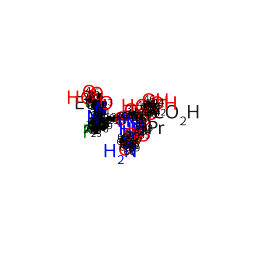 CC[C@@]1(O)C(=O)OCc2c1cc1n(c2=O)Cc2c-1nc1cc(F)c(C)c3c1c2C(CCCOCNC(=O)[C@H](CO[C@@H]1O[C@H](C(=O)O)[C@@H](O)[C@H](O)[C@H]1O)NC(=O)[C@@H](NC(=O)OC[C@H](CN)N1C(=O)C=CC1=O)C(C)C)CC3